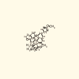 COc1ncc(-c2ccc3c(-c4ccc5c6c(ccnc46)CCO5)c([C@H](OC(C)(C)C)C(C)=O)c(C)cc3c2)cn1